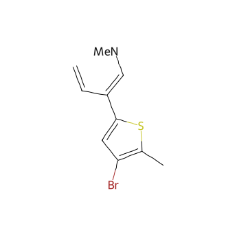 C=C/C(=C\NC)c1cc(Br)c(C)s1